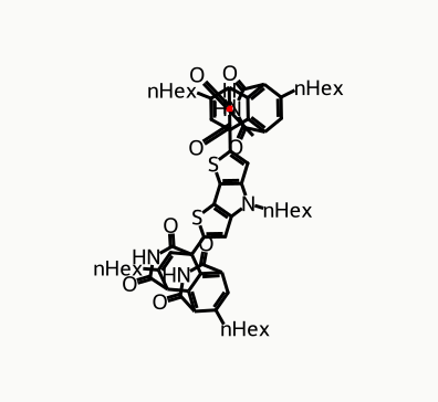 CCCCCCC1=CC2(c3cc4c(s3)c3sc(C56C=C(CCCCCC)C(C(=O)NC5=O)c5c6c6cc(CCCCCC)c5c(=O)[nH]c6=O)cc3n4CCCCCC)C(=O)NC(=O)C1c1c2c2cc(CCCCCC)c1c(=O)[nH]c2=O